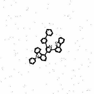 c1ccc(-c2cccc(-c3cc(-c4cccc5c4c4ccccc4n5-c4ccccc4)cc(-c4cccc5c4sc4ccccc45)n3)c2)cc1